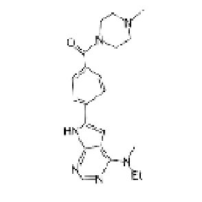 CCN(C)c1ncnc2[nH]c(-c3ccc(C(=O)N4CCN(C)CC4)cc3)cc12